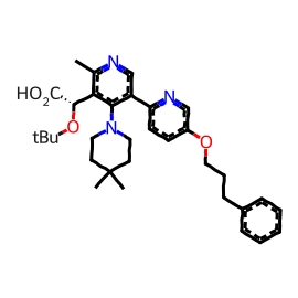 Cc1ncc(-c2ccc(OCCCc3ccccc3)cn2)c(N2CCC(C)(C)CC2)c1[C@H](OC(C)(C)C)C(=O)O